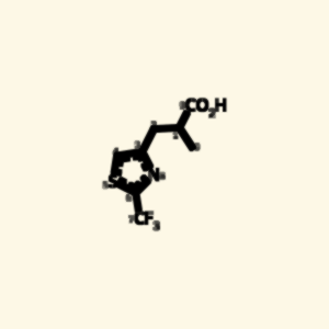 CC(Cc1csc(C(F)(F)F)n1)C(=O)O